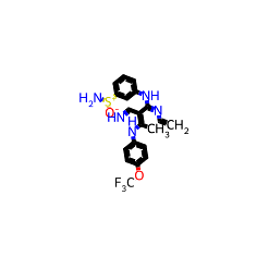 C=C/N=C(Nc1cccc([S+](N)[O-])c1)\C(C=N)=C(/C)Nc1ccc(OC(F)(F)F)cc1